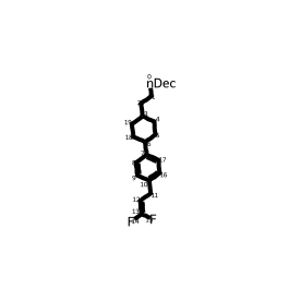 CCCCCCCCCCCCC1CCC(c2ccc(CC=C(F)F)cc2)CC1